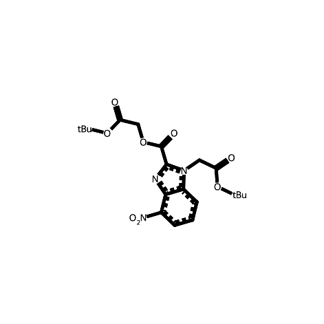 CC(C)(C)OC(=O)COC(=O)c1nc2c([N+](=O)[O-])cccc2n1CC(=O)OC(C)(C)C